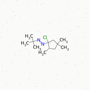 CC1CC(C)(C)CC1(Cl)N=NC(C)(C)C